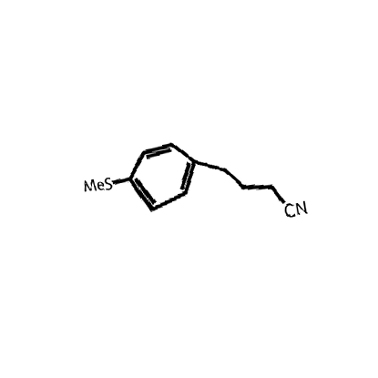 CSc1ccc(CCCC#N)cc1